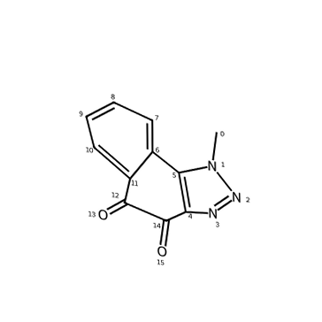 Cn1nnc2c1-c1ccccc1C(=O)C2=O